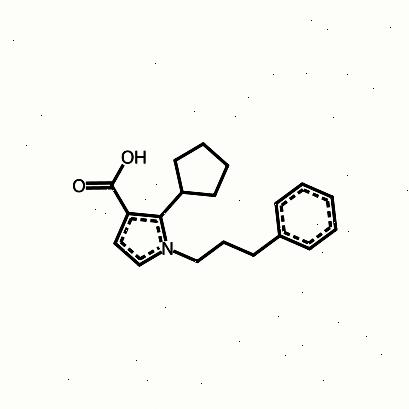 O=C(O)c1ccn(CCCc2ccccc2)c1C1CCCC1